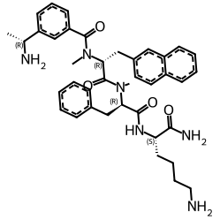 C[C@@H](N)c1cccc(C(=O)N(C)[C@H](Cc2ccc3ccccc3c2)C(=O)N(C)[C@H](Cc2ccccc2)C(=O)N[C@@H](CCCCN)C(N)=O)c1